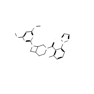 COc1cc(OC)nc(N2CC3CCN(C(=O)c4c(F)cccc4-n4nccn4)CC32)n1